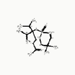 CC(=O)CCC(OP1(=O)OCC(C)(C)CO1)(C(C)C)C(C)C